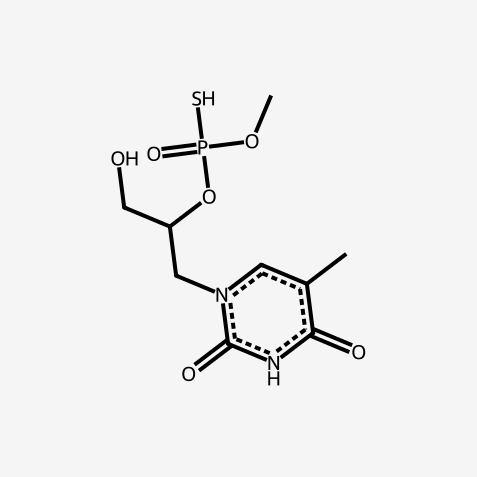 COP(=O)(S)OC(CO)Cn1cc(C)c(=O)[nH]c1=O